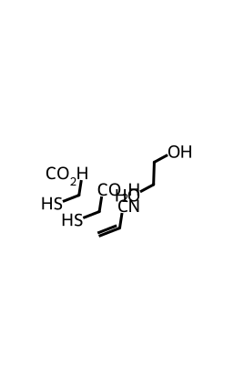 C=CC#N.O=C(O)CS.O=C(O)CS.OCCO